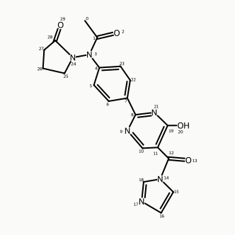 CC(=O)N(c1ccc(-c2ncc(C(=O)n3ccnc3)c(O)n2)cc1)N1CCCC1=O